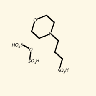 O=S(=O)(O)CCCN1CCOCC1.O=S(=O)(O)OS(=O)(=O)O